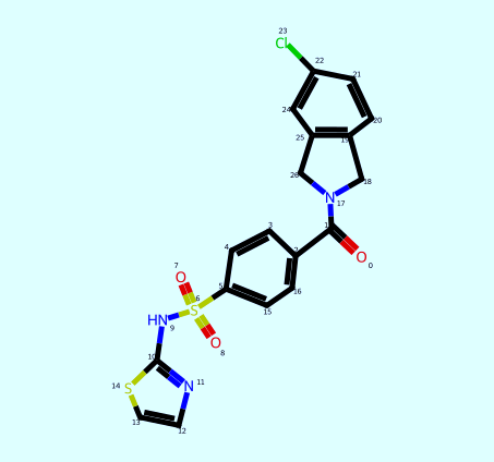 O=C(c1ccc(S(=O)(=O)Nc2nccs2)cc1)N1Cc2ccc(Cl)cc2C1